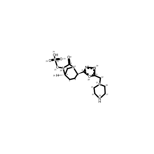 O=C1N2C[C@@H](CC[C@@H]2c2nnc(CN3CCNCC3)o2)N1OS(=O)(=O)O